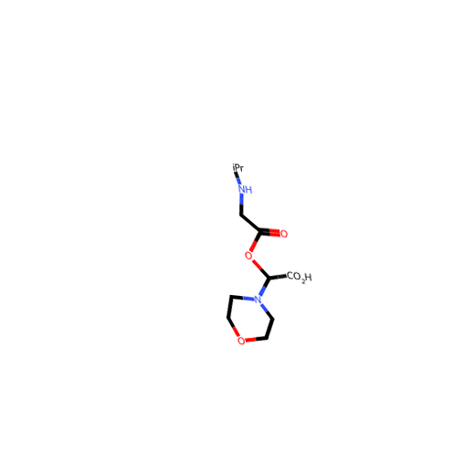 CC(C)NCC(=O)OC(C(=O)O)N1CCOCC1